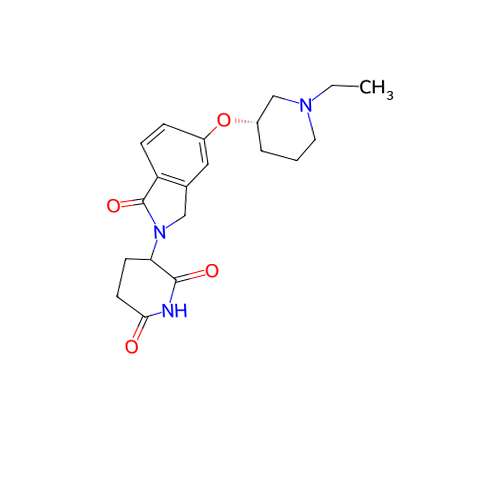 CCN1CCC[C@H](Oc2ccc3c(c2)CN(C2CCC(=O)NC2=O)C3=O)C1